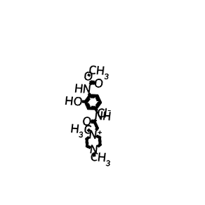 COC(=O)Nc1ccc(NC(=O)C[N+]2(C)CCN(C)CC2)cc1O.[Cl-]